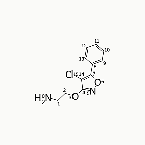 NCCOc1noc(-c2ccccc2)c1Cl